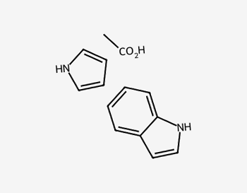 CC(=O)O.c1cc[nH]c1.c1ccc2[nH]ccc2c1